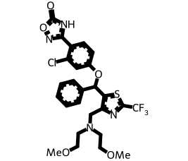 COCCN(CCOC)Cc1nc(C(F)(F)F)sc1C(Oc1ccc(-c2noc(=O)[nH]2)c(Cl)c1)c1ccccc1